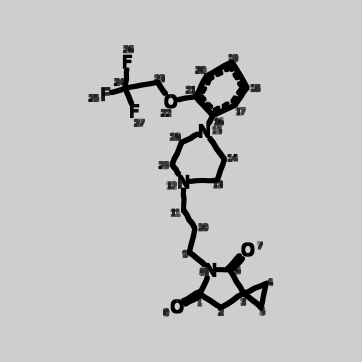 O=C1CC2(CC2)C(=O)N1CCCN1CCN(c2ccccc2OCC(F)(F)F)CC1